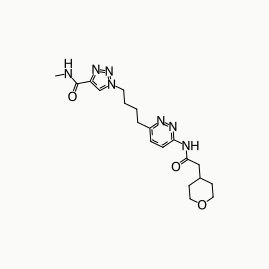 CNC(=O)c1cn(CCCCc2ccc(NC(=O)CC3CCOCC3)nn2)nn1